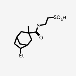 CCC1CC2CC1CC(C)(C(=O)SCCS(=O)(=O)O)C2